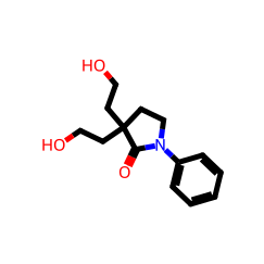 O=C1N(c2ccccc2)CCC1(CCO)CCO